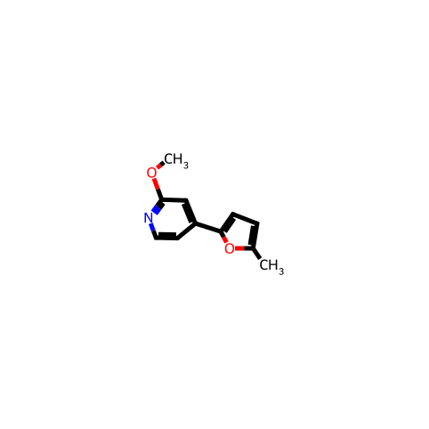 COc1cc(-c2ccc(C)o2)ccn1